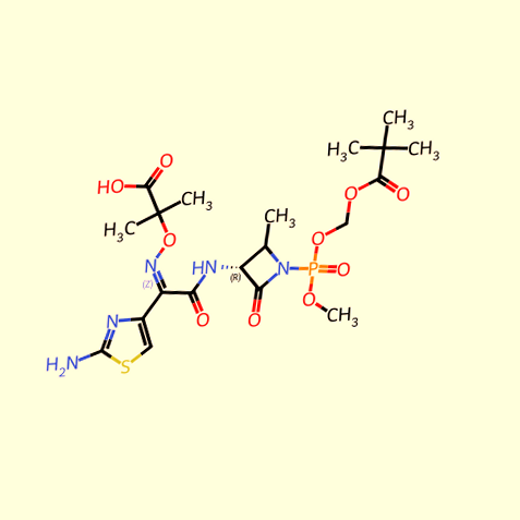 COP(=O)(OCOC(=O)C(C)(C)C)N1C(=O)[C@H](NC(=O)/C(=N\OC(C)(C)C(=O)O)c2csc(N)n2)C1C